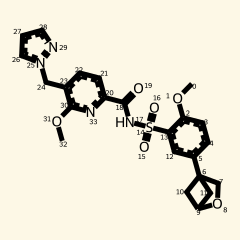 COc1ccc(C23COC(C2)C3)cc1S(=O)(=O)NC(=O)c1ccc(Cn2cccn2)c(OC)n1